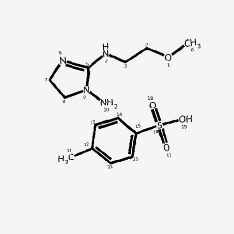 COCCNC1=NCCN1N.Cc1ccc(S(=O)(=O)O)cc1